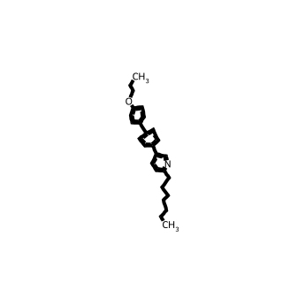 CCCCCCCc1ccc(-c2ccc(-c3ccc(OCCC)cc3)cc2)cn1